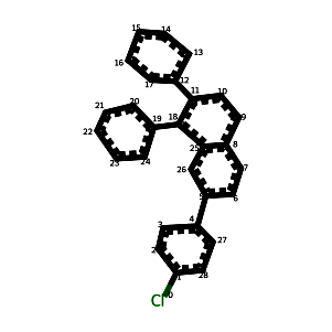 Clc1ccc(-c2ccc3ccc(-c4ccccc4)c(-c4ccccc4)c3c2)cc1